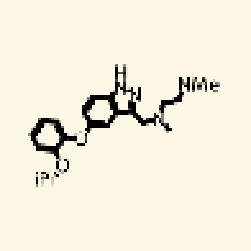 CNCCN(C)Cc1n[nH]c2ccc(Oc3ccccc3OC(C)C)cc12